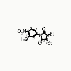 CCC1=C(CC)C(=O)N(c2ccc([N+](=O)[O-])c(O)c2)C1=O